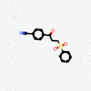 N#Cc1ccc(C(=O)CCS(=O)(=O)c2ccccc2)cc1